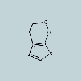 c1cc2c(s1)OOCC2